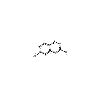 CC(=O)c1cnc2ccc(Br)cc2c1